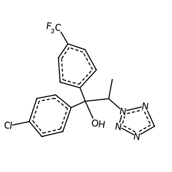 CC(n1ncnn1)C(O)(c1ccc(Cl)cc1)c1ccc(C(F)(F)F)cc1